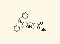 CC(C)(C)OC(=O)CC(=O)CC(O)CC(=O)N(Cc1ccccc1)Cc1ccccc1